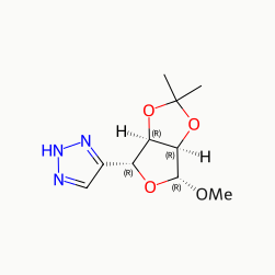 CO[C@@H]1O[C@H](c2cn[nH]n2)[C@H]2OC(C)(C)O[C@@H]12